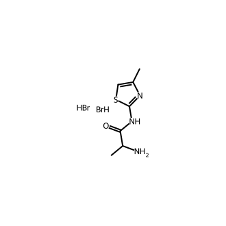 Br.Br.Cc1csc(NC(=O)C(C)N)n1